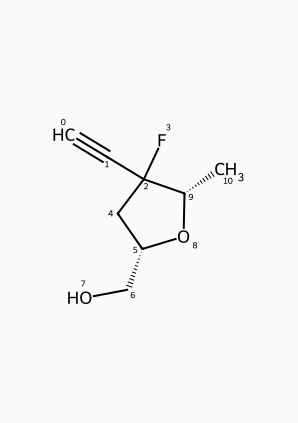 C#CC1(F)C[C@@H](CO)O[C@H]1C